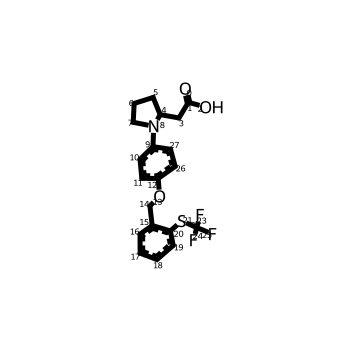 O=C(O)CC1CCCN1c1ccc(OCc2ccccc2SC(F)(F)F)cc1